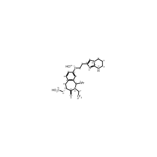 CCCC1c2cc(OCCc3cn4c(n3)NCCC4)ccc2C[C@@H](CC(=O)O)C(=O)N1CC(F)(F)F.Cl